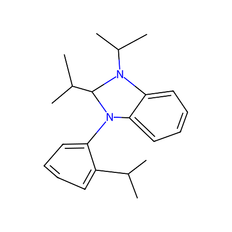 CC(C)c1ccccc1N1c2ccccc2N(C(C)C)C1C(C)C